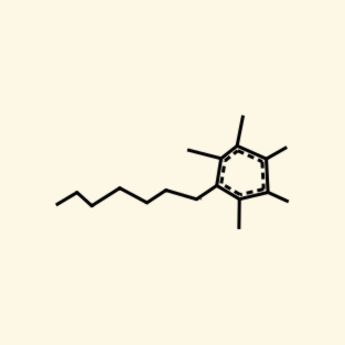 CCCCCC[CH]c1c(C)c(C)c(C)c(C)c1C